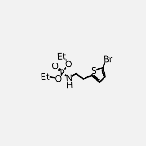 CCOP(=O)(NCCc1ccc(Br)s1)OCC